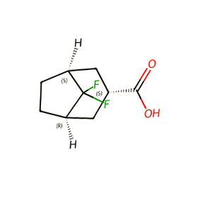 O=C(O)[C@@H]1C[C@H]2CC[C@@H](C1)C2(F)F